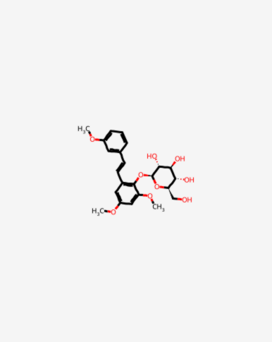 COc1cccc(/C=C/c2cc(OC)cc(OC)c2O[C@@H]2O[C@H](CO)[C@@H](O)[C@H](O)[C@H]2O)c1